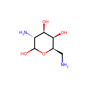 NC[C@H]1OC(O)[C@H](N)[C@@H](O)[C@H]1O